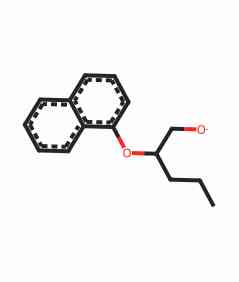 CCCC(C[O])Oc1cccc2ccccc12